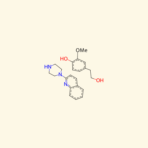 COc1cc(CCO)ccc1O.c1ccc2nc(N3CCNCC3)ccc2c1